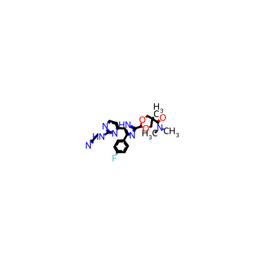 CN(C)C(=O)C1(C)COC(c2nc(-c3ccc(F)cc3)c(-c3ccnc(NCC#N)n3)[nH]2)OC1